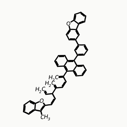 C=CC(/C=C\c1oc2ccccc2c1C)C(=C)/C=C\C(=C)c1c2ccccc2c(-c2cccc(-c3ccc4oc5ccccc5c4c3)c2)c2ccccc12